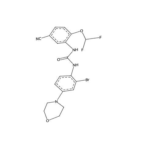 N#Cc1ccc(OC(F)F)c(NC(=O)Nc2ccc(N3CCOCC3)cc2Br)c1